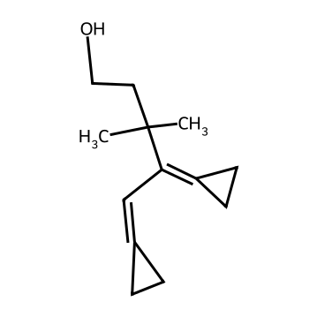 CC(C)(CCO)C(C=C1CC1)=C1CC1